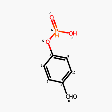 O=Cc1ccc(O[PH](=O)O)cc1